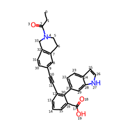 CCC(=O)N1CCc2cc(C#Cc3cccc(C(=O)O)c3-c3ccc4cc[nH]c4c3)ccc2C1